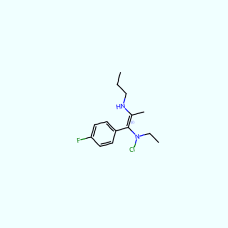 CCCN/C(C)=C(\c1ccc(F)cc1)N(Cl)CC